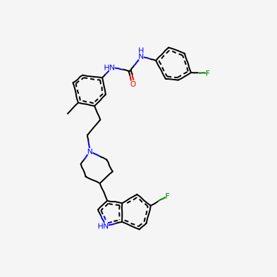 Cc1ccc(NC(=O)Nc2ccc(F)cc2)cc1CCN1CCC(c2c[nH]c3ccc(F)cc23)CC1